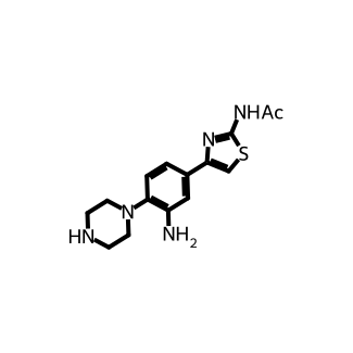 CC(=O)Nc1nc(-c2ccc(N3CCNCC3)c(N)c2)cs1